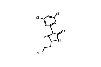 CSCCC1NC(=O)N(c2cc(Cl)cc(Cl)c2)C1=O